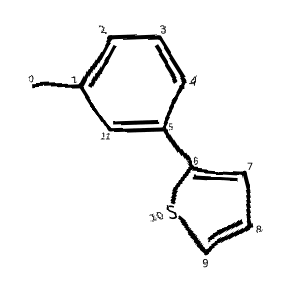 Cc1cc[c]c(-c2cccs2)c1